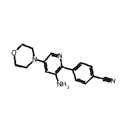 N#Cc1ccc(-c2ncc(N3CCOCC3)cc2N)cc1